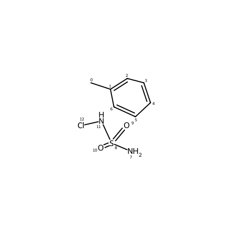 Cc1ccccc1.NS(=O)(=O)NCl